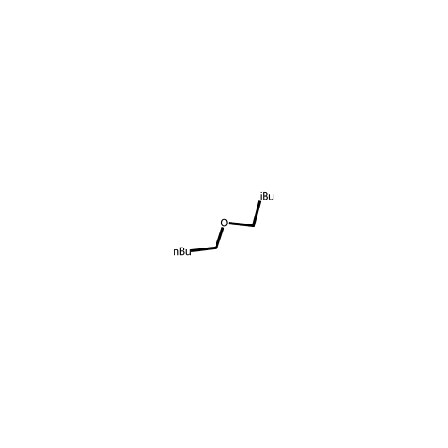 [CH2]CC(C)COCCCCC